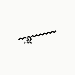 CCCCCCCCCCCCC[C@H](CNCCCC)CS(=O)(=O)O